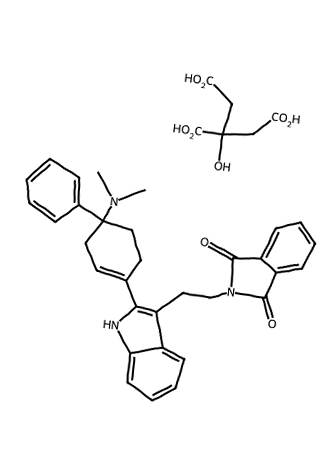 CN(C)C1(c2ccccc2)CC=C(c2[nH]c3ccccc3c2CCN2C(=O)c3ccccc3C2=O)CC1.O=C(O)CC(O)(CC(=O)O)C(=O)O